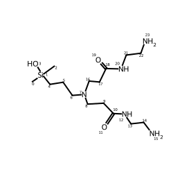 C[Si](C)(O)CCCN(CCC(=O)NCCN)CCC(=O)NCCN